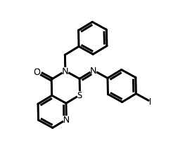 O=c1c2cccnc2s/c(=N\c2ccc(I)cc2)n1Cc1ccccc1